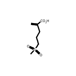 C=C(CCCS(C)(=O)=O)C(=O)O